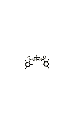 Cc1cc(C)c(C(=O)NCC(C)(C)CNC(=O)c2c(C)cc(C)cc2C)c(C)c1